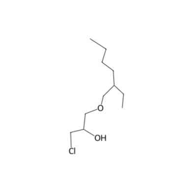 CCCCC(CC)COCC(O)CCl